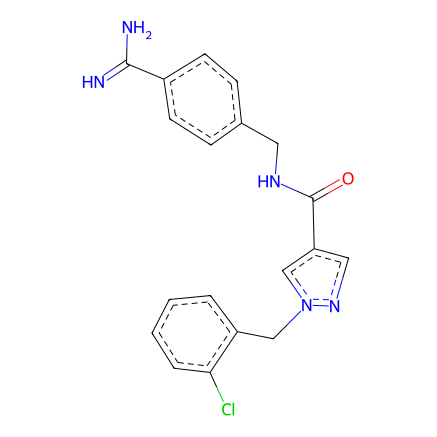 N=C(N)c1ccc(CNC(=O)c2cnn(Cc3ccccc3Cl)c2)cc1